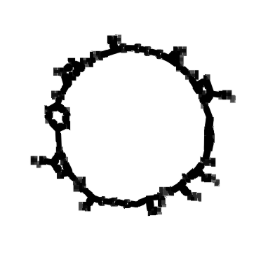 N=C1CCCCC(=N)NNc2nc(N)n(n2)-c2nnc(nn2)Nc2nc(n[nH]2)NNC(=N)CCCCC(=N)NNc2nc(N)n(n2)-c2nnc(nn2)N/C(N)=N/C(=N)NN1